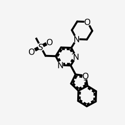 CS(=O)(=O)Cc1cc(N2CCOCC2)nc(-c2cc3ccccc3o2)n1